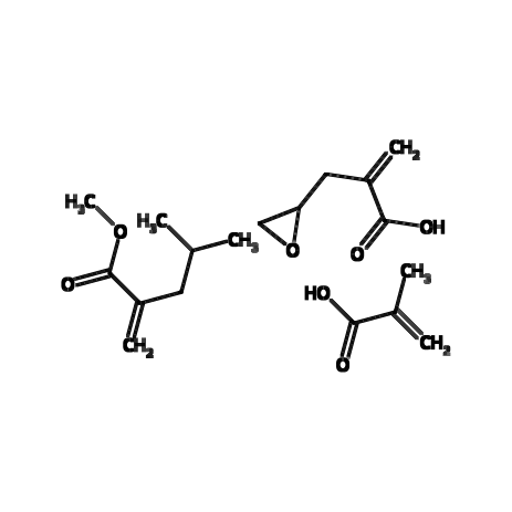 C=C(C)C(=O)O.C=C(CC(C)C)C(=O)OC.C=C(CC1CO1)C(=O)O